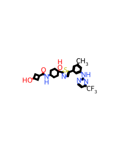 Cc1cc(Nc2nccc(C(F)(F)F)n2)cc(-c2cnc(C3(O)CCC(NC(=O)C4CC(O)C4)CC3)s2)c1